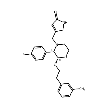 Cc1cccc(CCO[C@@H]2OCCN(CC3=CC(=O)NC3)[C@H]2c2ccc(F)cc2)c1